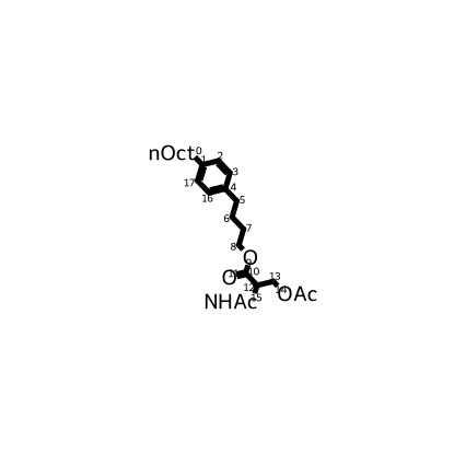 CCCCCCCCc1ccc(CCCCOC(=O)C(COC(C)=O)NC(C)=O)cc1